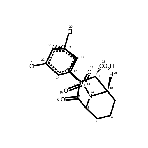 COCCN1C(=O)C2CCC[C@@H]([C@H]1C(=O)O)N2S(=O)(=O)c1cc(Cl)cc(Cl)c1